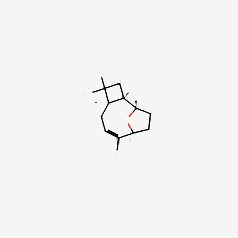 C/C1=C/C[C@@H]2[C@H](CC2(C)C)[C@]2(C)CC[C@@H]1O2